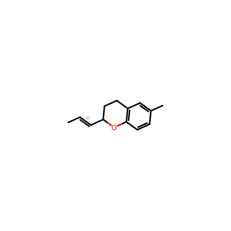 C/C=C/C1CCc2cc(C)ccc2O1